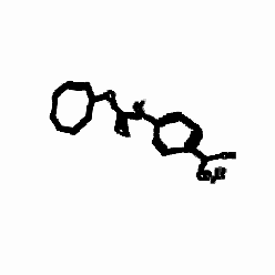 CCOC(=O)C(O)c1ccc(NC(=O)OC2/C=C\CCCCC2)cc1